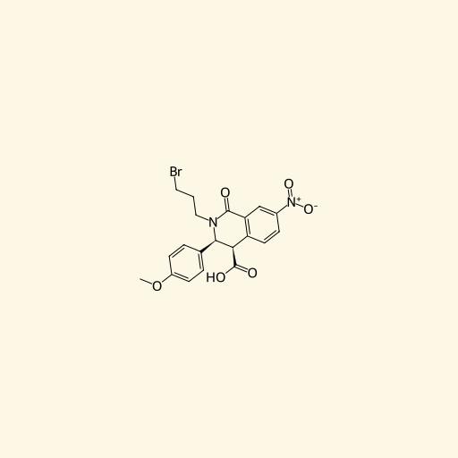 COc1ccc([C@@H]2[C@H](C(=O)O)c3ccc([N+](=O)[O-])cc3C(=O)N2CCCBr)cc1